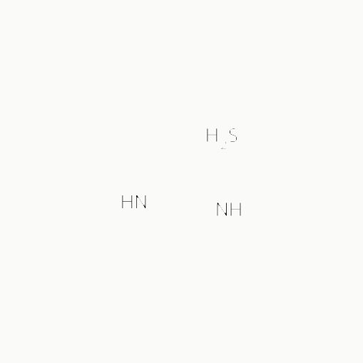 C1CNCN1.S